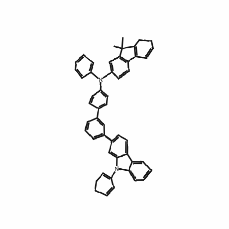 CC1(C)C2=C(C=CCC2)c2ccc(N(c3ccccc3)c3ccc(-c4cccc(-c5ccc6c7ccccc7n(C7=CCCC=C7)c6c5)c4)cc3)cc21